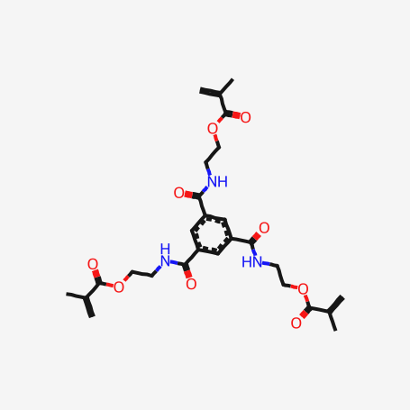 C=C(C)C(=O)OCCNC(=O)c1cc(C(=O)NCCOC(=O)C(=C)C)cc(C(=O)NCCOC(=O)C(=C)C)c1